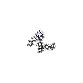 C=C1/C=C\C=C/N(c2ccc(-c3ccccc3)cc2)c2cc(-c3ccc4c5ccccc5n(-c5ccc(-c6ccccc6)cc5)c4c3)ccc21